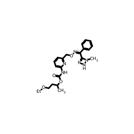 CCOCCC(C)OC(=O)Nc1cccc(CO/N=C(/c2ccccc2)c2n[nH]n2C)n1